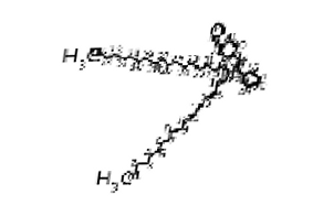 CCCCCCCCCCCCCCCCCCN(CCCCCCCCCCCCCCCCCC)C(=Cc1ccc(C=O)cc1)c1ccccc1